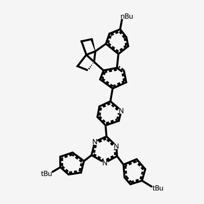 CCCCc1ccc2c(c1)[C@@]13CCC14CC[C@]43c1cc(-c3ccc(-c4nc(-c5ccc(C(C)(C)C)cc5)nc(-c5ccc(C(C)(C)C)cc5)n4)cn3)ccc1-2